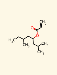 C=CC(=O)OC(CC(C)C)CC(C)CC